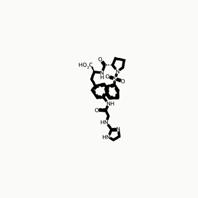 O=C(CNC1=NCCN1)Nc1ccc(C[C@H](NC(=O)[C@@H]2CCCN2S(=O)(=O)c2ccccc2)C(=O)O)cc1